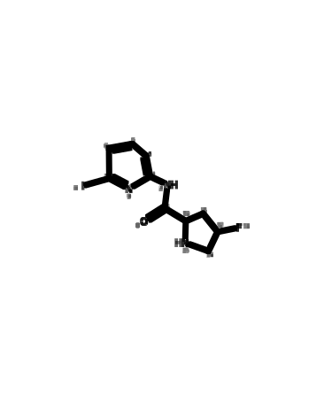 O=C(Nc1cccc(I)n1)C1CC(F)CN1